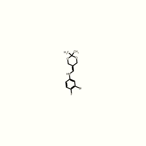 CC1(C)OCC(=CNc2ccc(F)c(Br)c2)CO1